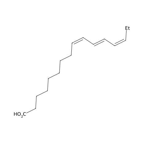 CC\C=C/C=C/C=C\CCCCCCCC(=O)O